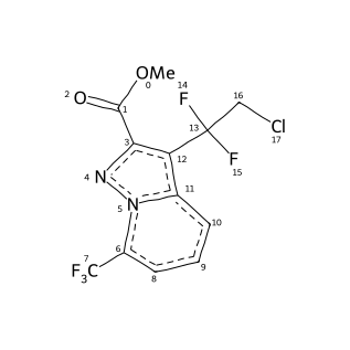 COC(=O)c1nn2c(C(F)(F)F)cccc2c1C(F)(F)CCl